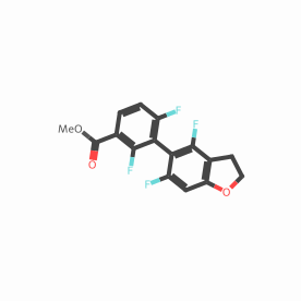 COC(=O)c1ccc(F)c(-c2c(F)cc3c(c2F)CCO3)c1F